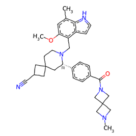 COc1cc(C)c2[nH]ccc2c1CN1CCC2(CC(C#N)C2)C[C@H]1c1ccc(C(=O)N2CC3(CN(C)C3)C2)cc1